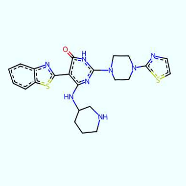 O=c1[nH]c(N2CCN(c3nccs3)CC2)nc(NC2CCCNC2)c1-c1nc2ccccc2s1